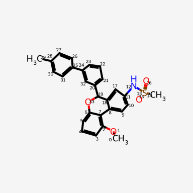 COc1cccc2c1-c1ccc(NS(C)(=O)=O)cc1C(c1cccc(-c3ccc(C)cc3)c1)O2